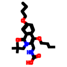 CCCCOc1ccc2c(OCCCC)c(CNC(=O)O)n(CC(C)(C)C)c(=O)c2c1